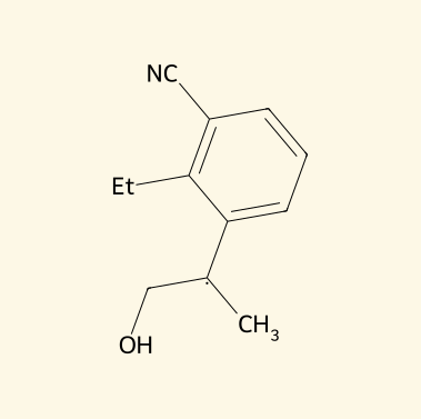 CCc1c(C#N)cccc1[C](C)CO